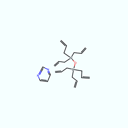 C=CC[Si](CC=C)(CC=C)O[Si](CC=C)(CC=C)CC=C.c1cncnc1